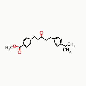 COC(=O)c1ccc(CCC(=O)CCc2ccc(C(C)C)cc2)cc1